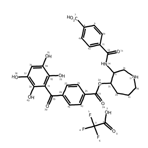 O=C(O)C(F)(F)F.O=C(O)c1ccc(C(=O)NC2CNCCCC2OC(=O)c2ccc(C(=O)c3c(O)c(O)cc(O)c3O)cc2)cc1